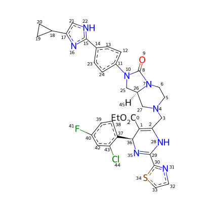 CCOC(=O)C1=C(CN2CCN3C(=O)N(c4ccc(-c5nc(C6CC6)c[nH]5)cc4)C[C@@H]3C2)NC(c2nccs2)=N[C@H]1c1ccc(F)cc1Cl